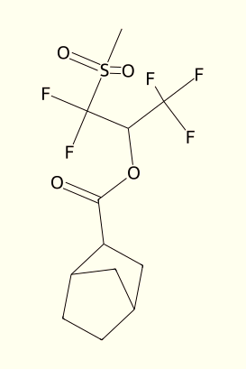 CS(=O)(=O)C(F)(F)C(OC(=O)C1CC2CCC1C2)C(F)(F)F